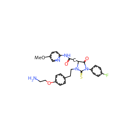 COc1ccc(NC(=O)CC2C(=O)N(c3ccc(F)cc3)C(=S)N2CCc2ccc(OCCN)cc2)nc1